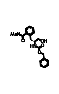 CNC(=O)c1ccccc1C[C@H](CO)NC(=O)OCc1ccccc1